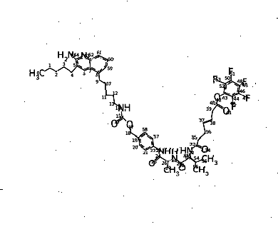 CCCCCc1cc2c(CCCCCNC(=O)OCc3ccc(NC(=O)C(C)NC(=O)[C@@H](NC(=O)CCCCCC(=O)Oc4c(F)c(F)c(F)c(F)c4F)C(C)C)cc3)cccc2nc1N